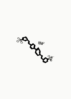 O=S(=O)([O-])c1cccc(C=Cc2ccc(-c3ccc(C=Cc4cccc(S(=O)(=O)[O-])c4)cc3)cc2)c1.[Na+].[Na+]